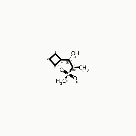 C[C@H]([C@@H](O)C1CCC1)S(C)(=O)=O